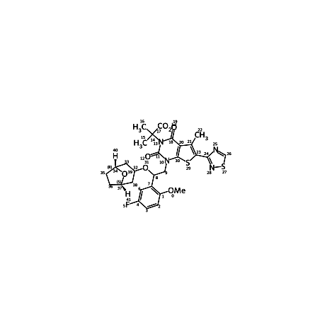 COc1ccc(F)cc1C(Cn1c(=O)n(C(C)(C)C(=O)O)c(=O)c2c(C)c(-c3ncsn3)sc21)OC1C[C@H]2CC[C@@H](C1)O2